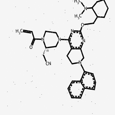 C=CC(=O)N1CCN(c2nc(OCC3CCCCC3N(C)C)nc3c2CCN(c2cccc4ccccc24)C3)C[C@@H]1CC#N